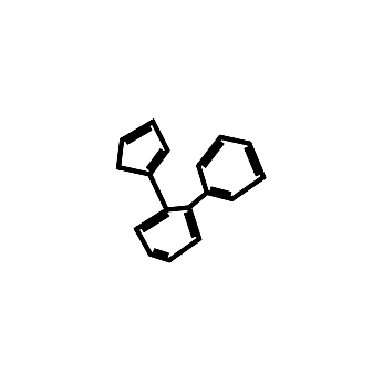 C1=CCC(c2ccccc2-c2ccccc2)=C1